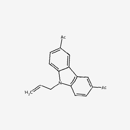 C=CCn1c2ccc(C(C)=O)cc2c2cc(C(C)=O)ccc21